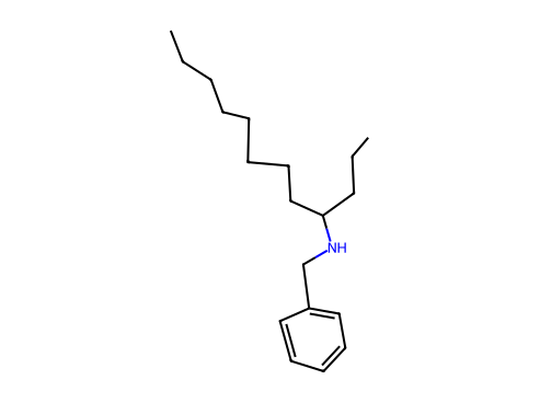 CCCCCCCCC(CCC)NCc1ccccc1